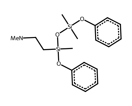 CNCC[Si](C)(Oc1ccccc1)O[Si](C)(C)Oc1ccccc1